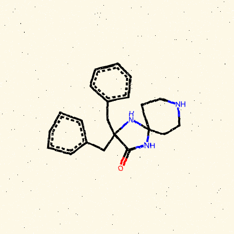 O=C1NC2(CCNCC2)NC1(Cc1ccccc1)Cc1ccccc1